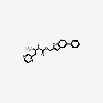 O=C(NC(Cc1cnccn1)C(=O)O)OCc1cc2cc(-c3ccccc3)ccc2o1